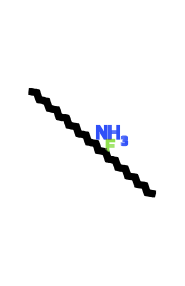 CCCCCCCCCCCCCCCC(F)CCCCCCCCCC.N